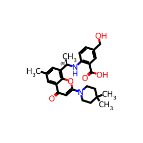 Cc1cc([C@@H](C)Nc2ccc(CO)cc2C(=O)O)c2oc(N3CCC(C)(C)CC3)cc(=O)c2c1